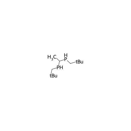 CC(PCC(C)(C)C)PCC(C)(C)C